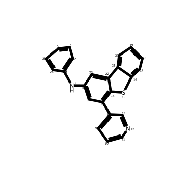 c1ccc(Nc2cc(-c3cccnc3)c3sc4ccccc4c3c2)cc1